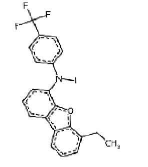 CCc1cccc2c1oc1c(N(I)c3ccc(C(F)(F)F)cc3)cccc12